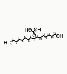 CCCCCCCCCCCCCCCCO.O=C(O)O